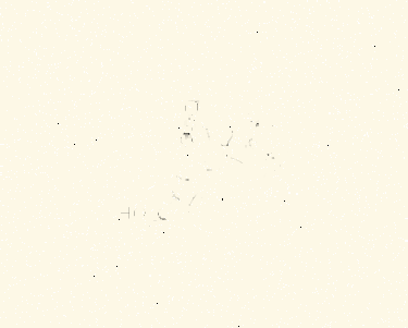 Cc1cc(C=Cc2cc3c(cc2C=CS(C)(=O)=O)C(C)(C)CCC3(C)C)ccc1C(=O)O